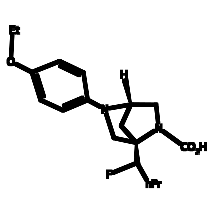 CCCC(F)[C@@]12C[C@@H](CN1C(=O)O)N(c1ccc(OCC)cc1)C2